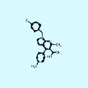 Cc1ccc(-c2c(C(C)O)c(C)nc3c2ccn3Cc2ccc(F)cc2)cc1